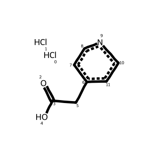 Cl.Cl.O=C(O)Cc1ccncc1